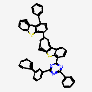 c1ccc(-c2cccc(-c3nc(-c4ccccc4)nc(-c4cccc5c4sc4ccc(-c6ccc(-c7ccccc7)c7c6sc6ccccc67)cc45)n3)c2)cc1